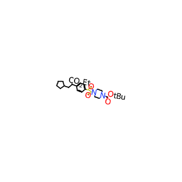 CCOC(=O)C(CC1CCCC1)c1ccc(S(=O)(=O)N2CCN(C(=O)OC(C)(C)C)CC2)cc1